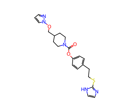 O=C(Oc1ccc(CCSc2ncc[nH]2)cc1)N1CCC(COn2cccn2)CC1